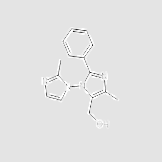 Cc1nc(-c2ccccc2)n(-n2ccnc2C)c1CO